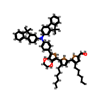 CCCCCCc1cc(C=O)sc1-c1cc(CCCCCC)c(-c2sc(-c3ccc(N(c4ccc5c(c4)C(C)(C)c4ccccc4-5)c4ccc5c(c4)C(C)(C)c4ccccc4-5)cc3)c3c2OCCO3)s1